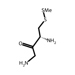 CSSC[C@H](N)C(=O)CN